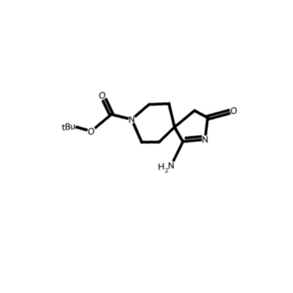 CC(C)(C)OC(=O)N1CCC2(CC1)CC(=O)N=C2N